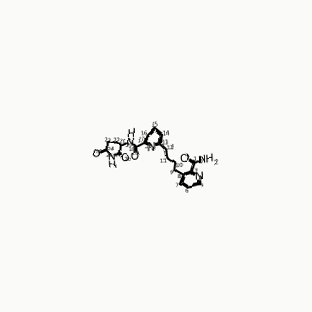 NC(=O)c1ncccc1CCCCc1cccc(C(=O)NC2CCC(=O)NC2=O)n1